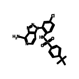 CC(C)(C)c1ccc(S(=O)(=O)Nc2ccc(Cl)cc2-n2nnc3c(N)nccc32)cc1